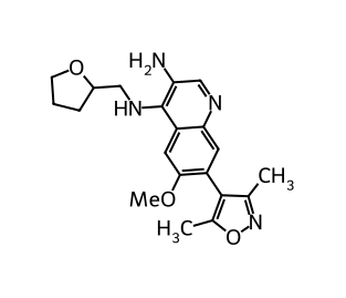 COc1cc2c(NCC3CCCO3)c(N)cnc2cc1-c1c(C)noc1C